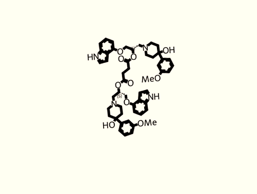 COc1cccc(C2(O)CCN(C[C@@H](COc3cccc4[nH]ccc34)OC(=O)CCC(=O)O[C@H](COc3cccc4[nH]ccc34)CN3CCC(O)(c4cccc(OC)c4)CC3)CC2)c1